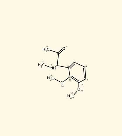 CNC(C(N)=O)c1cccc(OC)c1OC